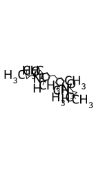 Cc1cc(Cc2cc(C)c(NC(=O)C3CC3(C)C)c(C)c2)cc(C)c1NC(=O)C1CC1(C)C